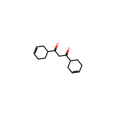 O=C(CC(=O)C1CC=CCC1)C1CC=CCC1